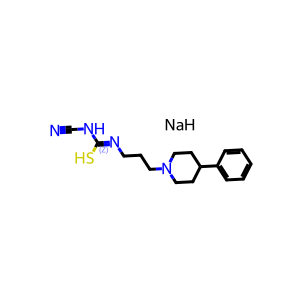 N#CN/C(S)=N/CCCN1CCC(c2ccccc2)CC1.[NaH]